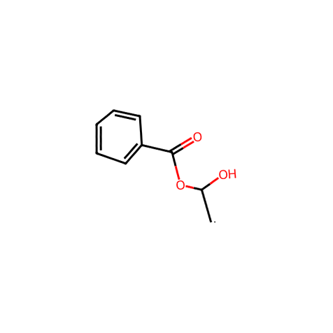 [CH2]C(O)OC(=O)c1ccccc1